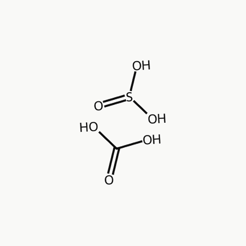 O=C(O)O.O=S(O)O